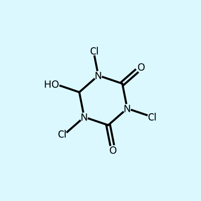 O=C1N(Cl)C(=O)N(Cl)C(O)N1Cl